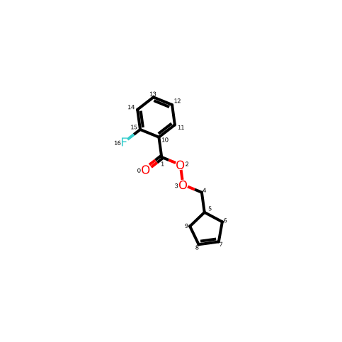 O=C(OOCC1CC=CC1)c1ccccc1F